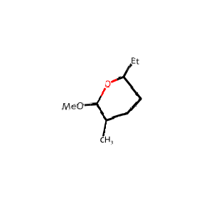 CCC1CCC(C)C(OC)O1